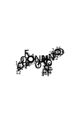 O=C(Nc1cc(F)c(OC2CC3CC3C2)c(F)c1)c1nc(N2CC3(CCOC3)C2)oc1CC(F)(F)F